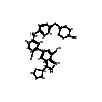 CCN1CCN(Cc2ccc(Nc3ncc(F)c(-c4cc(F)c5n[nH]c(C6CCCC6)c5c4)n3)nc2)CC1